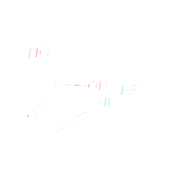 C=C.F.F.O=S(O)O